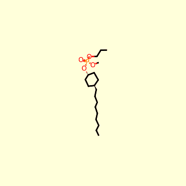 CCCCCCCCC[C@H]1CC[C@H](OP(=O)(OC)OCCC)CC1